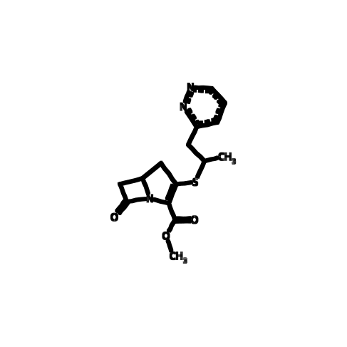 COC(=O)C1=C(SC(C)Cc2cccnn2)CC2CC(=O)N12